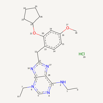 CCNc1ncn(CC)c2nc(Cc3ccc(OC)cc3OC3CCCC3)nc1-2.Cl